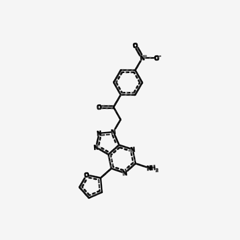 Nc1nc(-c2ccco2)c2nnn(CC(=O)c3ccc([N+](=O)[O-])cc3)c2n1